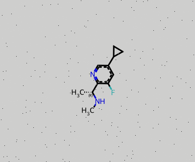 CN[C@H](C)c1ncc(C2CC2)cc1F